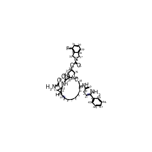 C=C(N[C@H]1CCCCC/C=C\[C@@H]2C[C@@]2(C(N)=O)NC(=O)[C@@H]2C[C@@H](OC(=O)N3Cc4cccc(F)c4C3)CN2OC1)S/C=C(\N)c1ccccc1